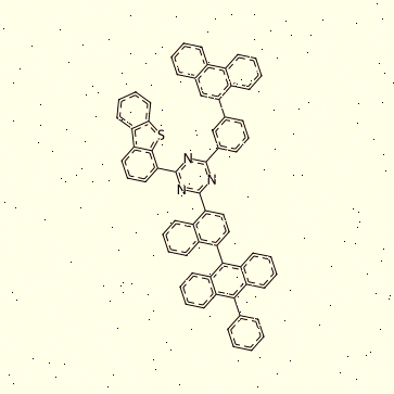 c1ccc(-c2c3ccccc3c(-c3ccc(-c4nc(-c5cccc(-c6cc7ccccc7c7ccccc67)c5)nc(-c5cccc6c5sc5ccccc56)n4)c4ccccc34)c3ccccc23)cc1